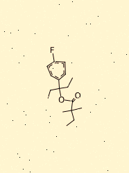 CCC(C)(C)C(=O)OC(CC)(CC)c1ccc(F)cc1